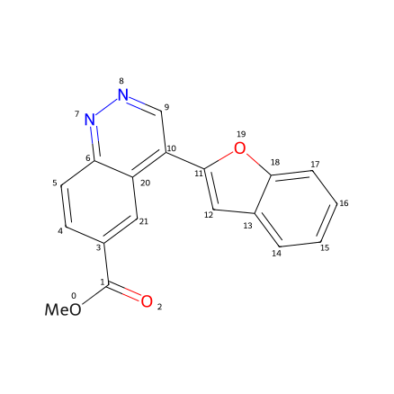 COC(=O)c1ccc2nncc(-c3cc4ccccc4o3)c2c1